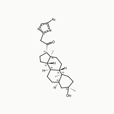 CC(=O)c1cnn(CC(=O)[C@H]2CC[C@H]3[C@@H]4CC[C@@H]5C[C@](C)(O)CC[C@]5(C)[C@H]4CC[C@]23C)n1